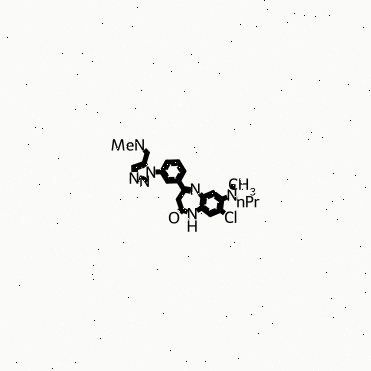 CCCN(C)c1cc2c(cc1Cl)NC(=O)CC(c1cccc(-n3nncc3CNC)c1)=N2